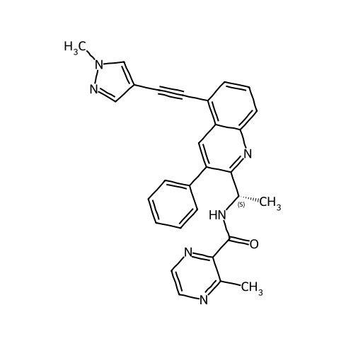 Cc1nccnc1C(=O)N[C@@H](C)c1nc2cccc(C#Cc3cnn(C)c3)c2cc1-c1ccccc1